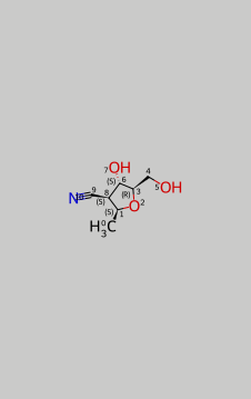 C[C@@H]1O[C@H](CO)[C@@H](O)[C@@H]1C#N